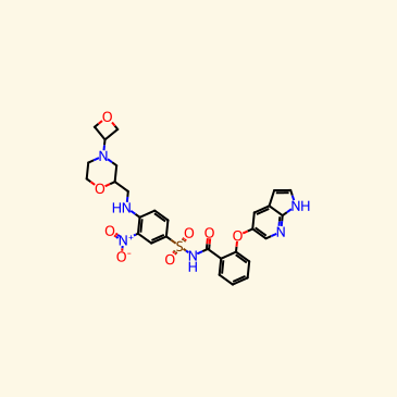 O=C(NS(=O)(=O)c1ccc(NCC2CN(C3COC3)CCO2)c([N+](=O)[O-])c1)c1ccccc1Oc1cnc2[nH]ccc2c1